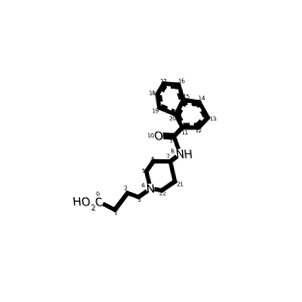 O=C(O)CCCN1CCC(NC(=O)c2cccc3ccccc23)CC1